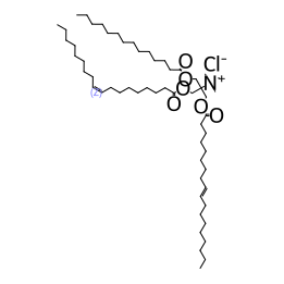 CCCCCCCCC=CCCCCCCCC(=O)OCC(COC(=O)CCCCCCC/C=C\CCCCCCCC)(COC(=O)CCCCCCCCCCCCC)[N+](C)(C)C.[Cl-]